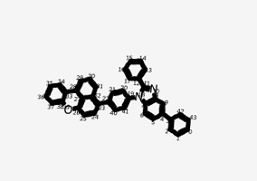 c1ccc(-c2ccc3c(c2)nc(-c2ccccc2)n3-c2ccc(-c3ccc4c5c(cccc35)-c3ccccc3O4)cc2)cc1